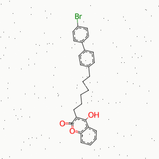 O=c1oc2ccccc2c(O)c1CCCCCCc1ccc(-c2ccc(Br)cc2)cc1